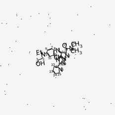 CCN(CCO)c1ccc(/N=C2/C(C(=O)N(C)C)=Nn3nc(-c4ccccn4)nc32)c(C)c1